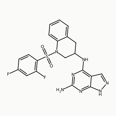 Nc1nc(NC2Cc3ccccc3N(S(=O)(=O)c3ccc(F)cc3F)C2)c2cn[nH]c2n1